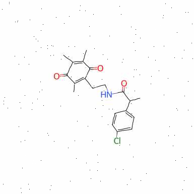 CC1=C(C)C(=O)C(CCNC(=O)C(C)c2ccc(Cl)cc2)=C(C)C1=O